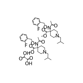 COC(=O)C1(N(OCc2ccccc2F)C(C)=O)CCN(CC(C)C)CC1.COC(=O)C1(N(OCc2ccccc2F)C(C)=O)CCN(CC(C)C)CC1.O=C(O)C(=O)O